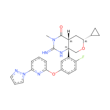 CN1C(=N)N[C@@]2(c3cc(Oc4cccc(-n5cccn5)n4)ccc3F)CO[C@@H](C3CC3)C[C@H]2C1=O